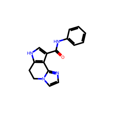 O=C(Nc1ccccc1)c1c[nH]c2c1-c1nccn1CC2